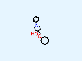 OC1(COC2CCCCCCC2)CCN(c2ccccc2)CC1